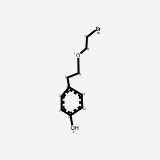 Oc1ccc(CCOCCBr)cc1